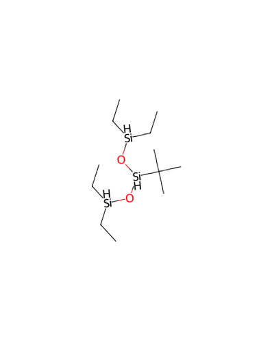 CC[SiH](CC)O[SiH](O[SiH](CC)CC)C(C)(C)C